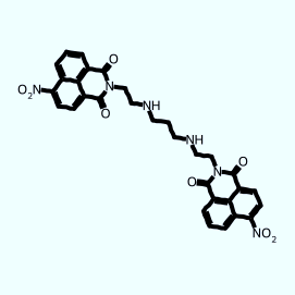 O=C1c2cccc3c([N+](=O)[O-])ccc(c23)C(=O)N1CCNCCCNCCN1C(=O)c2cccc3c([N+](=O)[O-])ccc(c23)C1=O